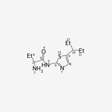 CCC(N)C(=O)Nc1ncc(C(CC)CC)s1